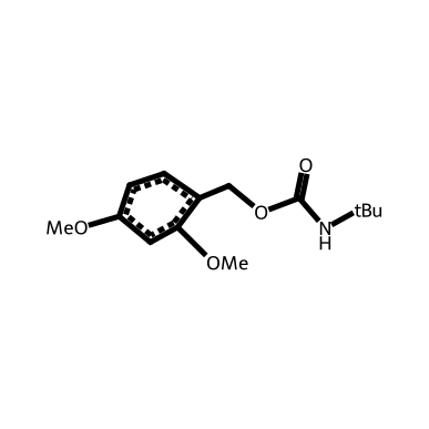 COc1ccc(COC(=O)NC(C)(C)C)c(OC)c1